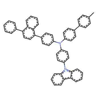 Cc1ccc(-c2ccc(N(c3ccc(-c4ccc(-c5ccccc5)c5ccccc45)cc3)c3ccc(-n4c5ccccc5c5ccccc54)cc3)cc2)cc1